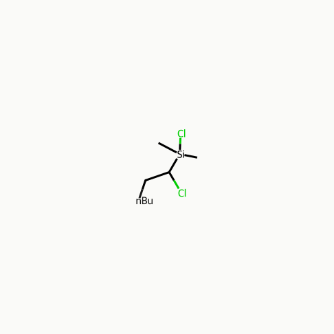 CCCCCC(Cl)[Si](C)(C)Cl